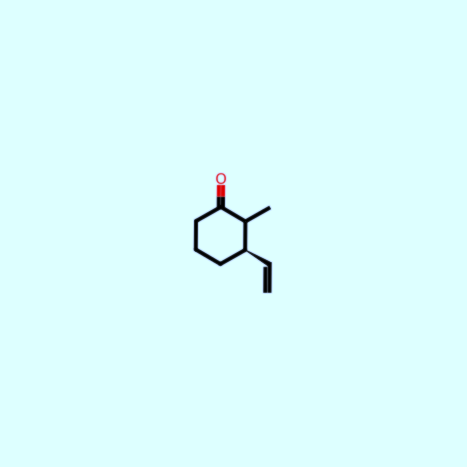 C=C[C@H]1CCCC(=O)C1C